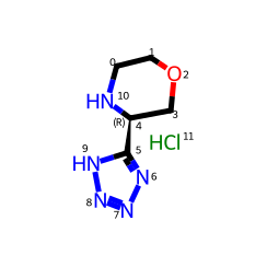 C1COC[C@@H](c2nnn[nH]2)N1.Cl